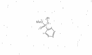 COP(=O)(OC(C)C)c1ccccc1